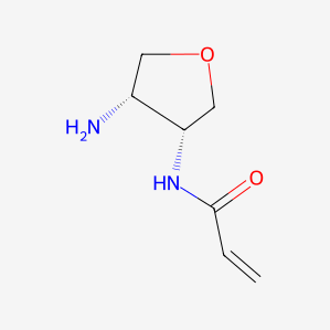 C=CC(=O)N[C@H]1COC[C@H]1N